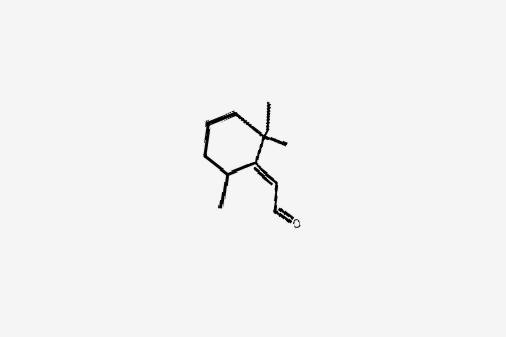 CC1CCCC(C)(C)/C1=C/C=O